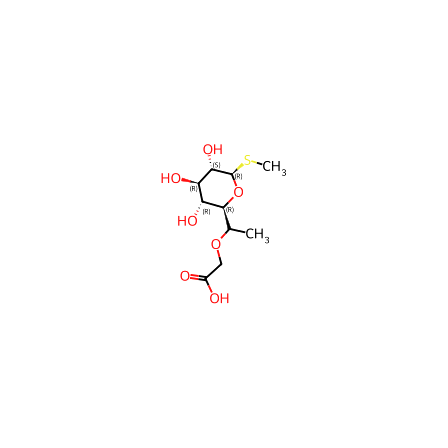 CS[C@H]1O[C@@H](C(C)OCC(=O)O)[C@H](O)[C@@H](O)[C@@H]1O